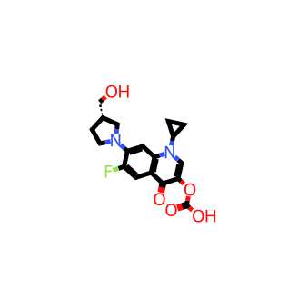 O=C(O)Oc1cn(C2CC2)c2cc(N3CC[C@H](CO)C3)c(F)cc2c1=O